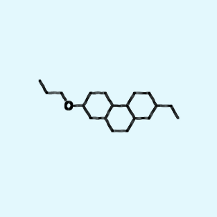 CCCOC1CCC2C(CCC3CC(CC)CCC32)C1